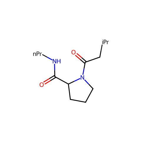 CCCNC(=O)C1CCCN1C(=O)CC(C)C